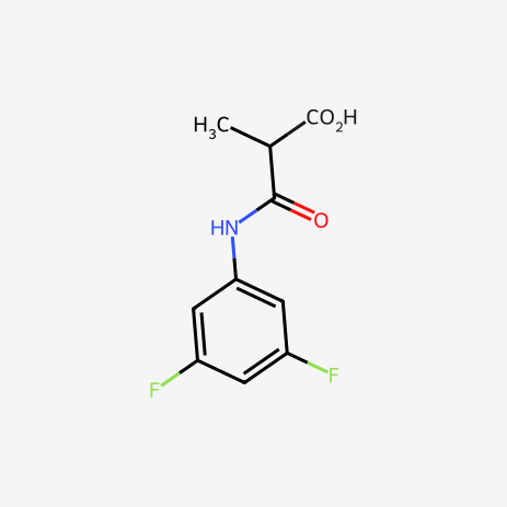 CC(C(=O)O)C(=O)Nc1cc(F)cc(F)c1